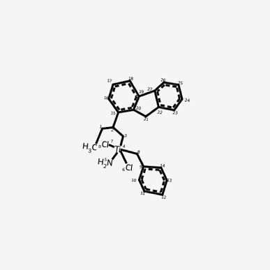 CCC([CH2][Ti]([NH2])([Cl])([Cl])[CH2]c1ccccc1)c1cccc2c1Cc1ccccc1-2